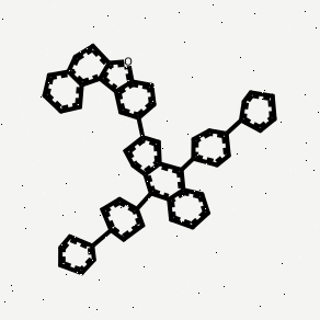 c1ccc(-c2ccc(-c3c4ccccc4c(-c4ccc(-c5ccccc5)cc4)c4cc(-c5ccc6oc7ccc8ccccc8c7c6c5)ccc34)cc2)cc1